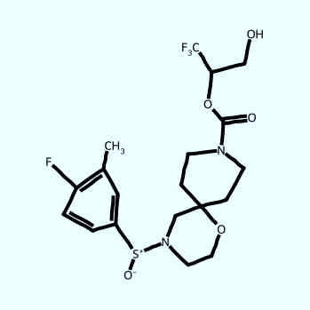 Cc1cc([S+]([O-])N2CCOC3(CCN(C(=O)OC(CO)C(F)(F)F)CC3)C2)ccc1F